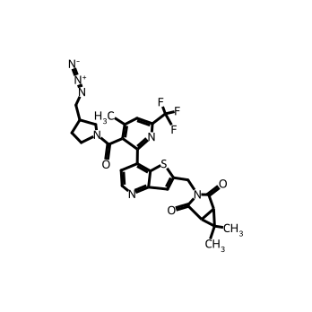 Cc1cc(C(F)(F)F)nc(-c2ccnc3cc(CN4C(=O)C5C(C4=O)C5(C)C)sc23)c1C(=O)N1CCC(CN=[N+]=[N-])C1